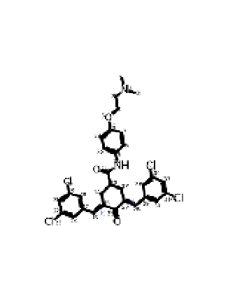 CN(C)CCOc1ccc(NC(=O)C2C/C(=C\c3cc(Cl)cc(Cl)c3)C(=O)/C(=C/c3cc(Cl)cc(Cl)c3)C2)cc1